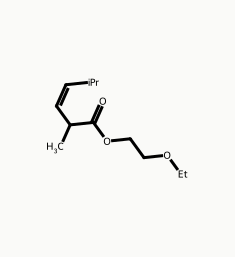 CCOCCOC(=O)C(C)/C=C\C(C)C